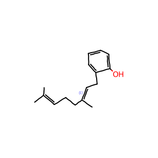 CC(C)=CCC/C(C)=C/Cc1ccccc1O